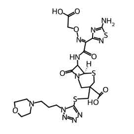 Nc1nc(C(=NOCC(=O)O)C(=O)NC2C(=O)N3CC(CSc4nnnn4CCCN4CCOCC4)(C(=O)O)CS[C@H]23)ns1